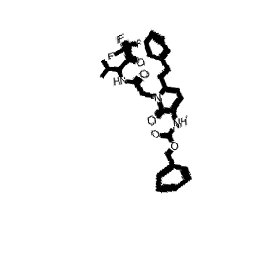 CC(C)C(NC(=O)Cn1c(CCc2ccccc2)ccc(NC(=O)OCc2ccccc2)c1=O)C(=O)C(F)(F)F